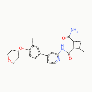 Cc1cc(-c2ccnc(NC(=O)C3C(C)CC3C(N)=O)c2)ccc1OC1CCOCC1